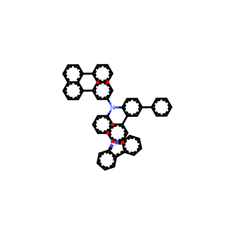 c1ccc(-c2ccc(N(c3cccc(-c4cccc5cccc(-c6ccccc6)c45)c3)c3cccc(-n4c5ccccc5c5ccccc54)c3)c(-c3ccccc3)c2)cc1